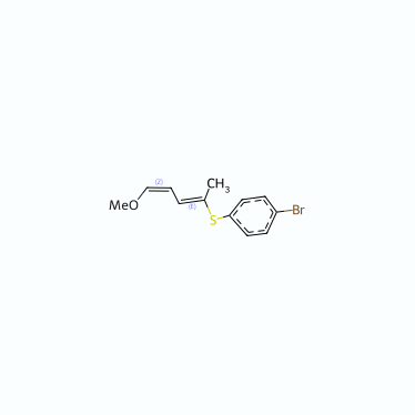 CO/C=C\C=C(/C)Sc1ccc(Br)cc1